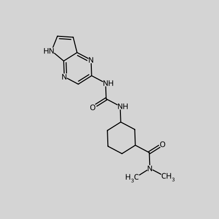 CN(C)C(=O)C1CCCC(NC(=O)Nc2cnc3[nH]ccc3n2)C1